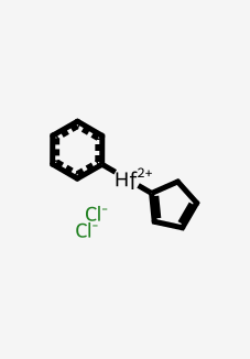 C1=CC[C]([Hf+2][c]2ccccc2)=C1.[Cl-].[Cl-]